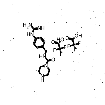 N=C(N)Nc1ccc(CNC(=O)N2CCNCC2)cc1.O=C(O)C(F)(F)F.O=C(O)C(F)(F)F